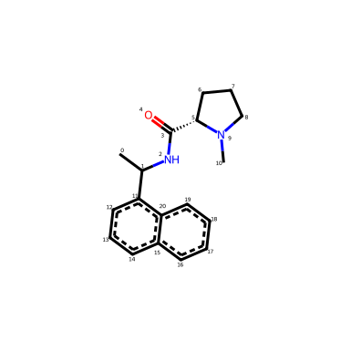 CC(NC(=O)[C@@H]1CCCN1C)c1cccc2ccccc12